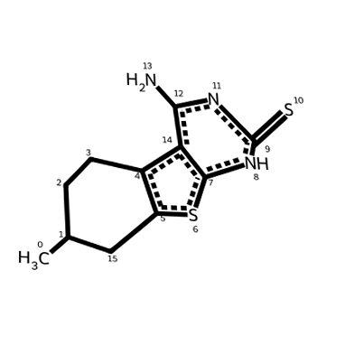 CC1CCc2c(sc3[nH]c(=S)nc(N)c23)C1